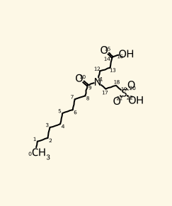 CCCCCCCCCC(=O)N(CCC(=O)O)CCS(=O)(=O)O